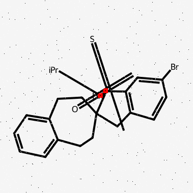 CC(C)N1C(=O)C2(NC1=S)c1cc(Br)ccc1CC21CCc2ccccc2CC1